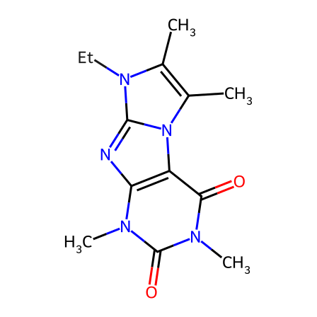 CCn1c(C)c(C)n2c3c(=O)n(C)c(=O)n(C)c3nc12